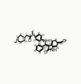 CN1CCN(CC(=O)N(C)c2ccc(NC(=C3C(=O)NC4=CC(=C=O)CC=C43)c3ccccc3)cc2)CC1